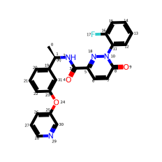 C[C@@H](NC(=O)c1ccc(=O)n(-c2ccccc2F)n1)c1cccc(Oc2cccnc2)c1